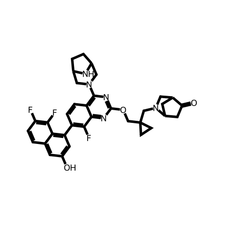 O=C1CC2CC1CN2CC1(COc2nc(N3CC4CCC(C3)N4)c3ccc(-c4cc(O)cc5ccc(F)c(F)c45)c(F)c3n2)CC1